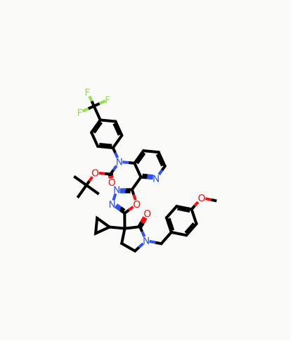 COc1ccc(CN2CCC(c3nnc(-c4ncccc4N(C(=O)OC(C)(C)C)c4ccc(C(F)(F)F)cc4)o3)(C3CC3)C2=O)cc1